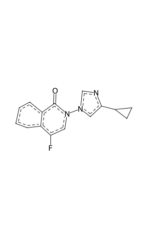 O=c1c2ccccc2c(F)cn1-n1cnc(C2CC2)c1